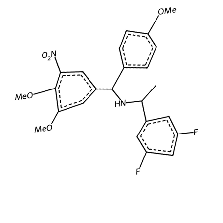 COc1ccc(C(NC(C)c2cc(F)cc(F)c2)c2cc(OC)c(OC)c([N+](=O)[O-])c2)cc1